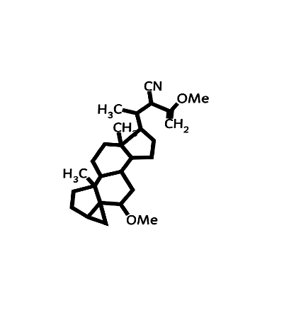 C=C(OC)C(C#N)C(C)C1CCC2C3CC(OC)C45CC4CCC5(C)C3CCC12C